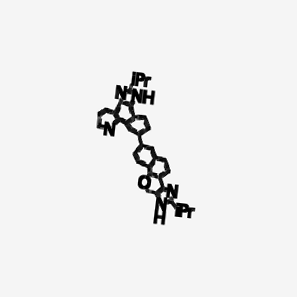 CC(C)c1nc2c([nH]1)COc1c-2ccc2cc(-c3ccc4c(c3)c3ncccc3c3nc(C(C)C)[nH]c43)ccc12